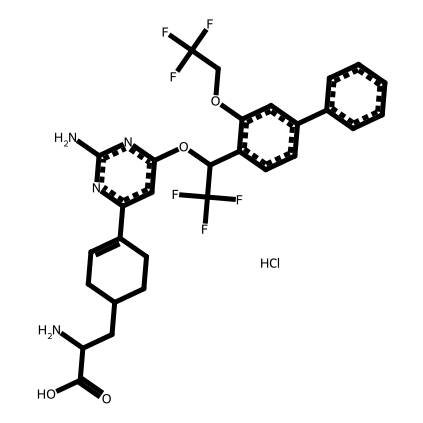 Cl.Nc1nc(OC(c2ccc(-c3ccccc3)cc2OCC(F)(F)F)C(F)(F)F)cc(C2=CCC(CC(N)C(=O)O)CC2)n1